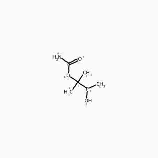 CP(O)C(C)(C)OC(N)=O